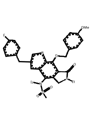 CCN1Cc2c(c(OCc3ccc(OC)cc3)c3ncc(Cc4ccc(F)cc4)cc3c2N(CC)S(C)(=O)=O)C1=O